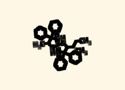 CC[C@H](C)[C@@H]1N[PH]2(N[C@@H](C)C(c3ccccc3)(c3ccccc3)N2)NC1(c1ccccc1)c1ccccc1